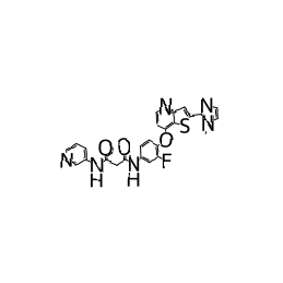 Cn1ccnc1-c1cc2nccc(Oc3ccc(NC(=O)CC(=O)Nc4cccnc4)cc3F)c2s1